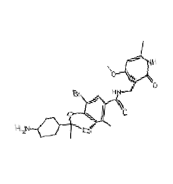 COc1cc(C)[nH]c(=O)c1CNC(=O)c1cc(Br)c2c(c1C)OC(C)(C1CCC(N)CC1)O2